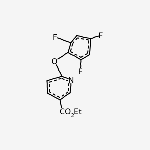 CCOC(=O)c1ccc(Oc2c(F)cc(F)cc2F)nc1